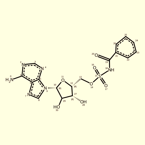 Nc1ncnc2c1ncn2[C@@H]1O[C@H](COS(=O)(=O)NC(=O)c2ccccc2)[C@H](O)C1O